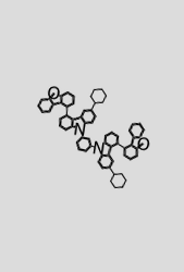 c1cc(-n2c3ccc(C4CCCCC4)cc3c3c(-c4cccc5oc6ccccc6c45)cccc32)cc(-n2c3ccc(C4CCCCC4)cc3c3c(-c4cccc5oc6ccccc6c45)cccc32)c1